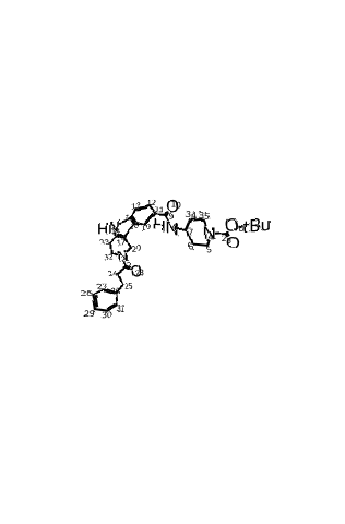 CC(C)(C)OC(=O)N1CCC(NC(=O)c2ccc3[nH]c4c(c3c2)CN(C(=O)CCc2ccccc2)CC4)CC1